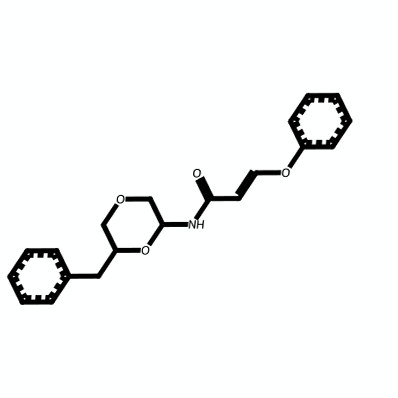 O=C(C=COc1ccccc1)NC1COCC(Cc2ccccc2)O1